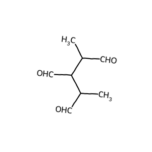 CC(C=O)C(C=O)C(C)C=O